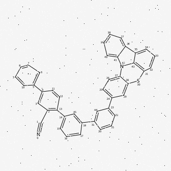 N#Cc1cc(-c2ccccc2)ccc1-c1cccc(-c2cccc(-c3ccc4c(c3)Sc3cccc5c6ccccc6n-4c35)c2)c1